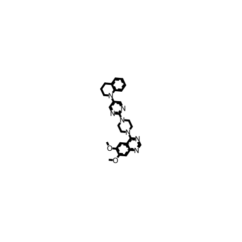 COc1cc2ncnc(N3CCN(c4ncc(N5CCCc6ccccc65)cn4)CC3)c2cc1OC